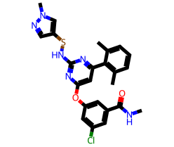 CNC(=O)c1cc(Cl)cc(Oc2cc(-c3c(C)cccc3C)nc(NSc3cnn(C)c3)n2)c1